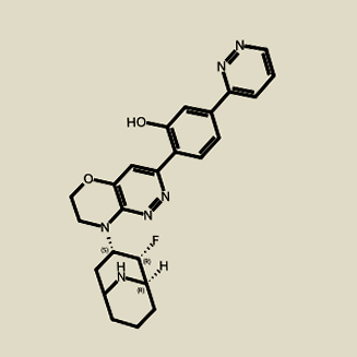 Oc1cc(-c2cccnn2)ccc1-c1cc2c(nn1)N([C@H]1CC3CCC[C@@H](N3)[C@H]1F)CCO2